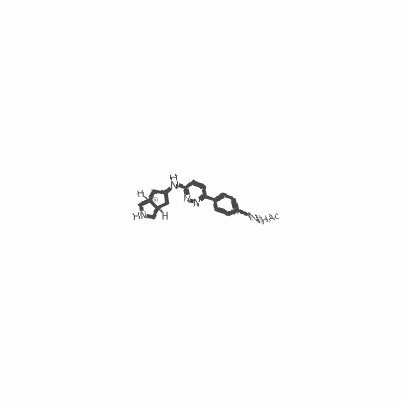 CC(=O)Nc1ccc(-c2ccc(NC3C[C@H]4CNC[C@H]4C3)nn2)cc1